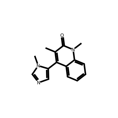 Cc1c(-c2cncn2C)c2ccccc2n(C)c1=O